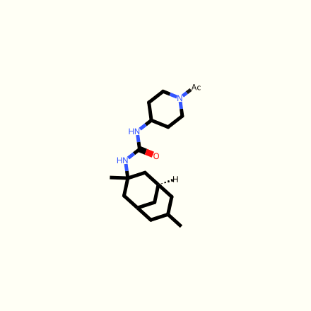 CC(=O)N1CCC(NC(=O)NC2(C)CC3CC(C)C[C@@H](C3)C2)CC1